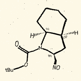 CC(C)(C)OC(=O)N1[C@H](N=O)C[C@@H]2CCCC[C@@H]21